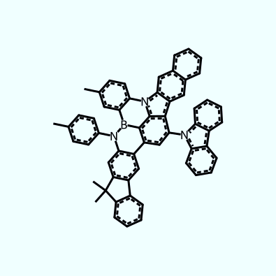 Cc1ccc(N2B3c4cc(C)ccc4-n4c5cc6ccccc6cc5c5c(-n6c7ccccc7c7ccccc76)cc(c3c54)-c3cc4c(cc32)C(C)(C)c2ccccc2-4)cc1